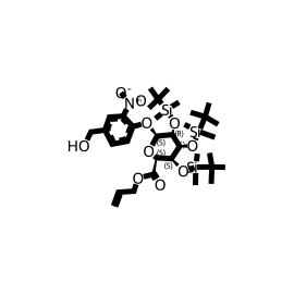 C=CCOC(=O)[C@H]1O[C@@H](Oc2ccc(CO)cc2[N+](=O)[O-])[C@H](O[Si](C)(C)C(C)(C)C)[C@@H](O[Si](C)(C)C(C)(C)C)[C@H]1O[Si](C)(C)C(C)(C)C